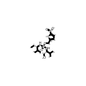 CC[C@H](NP(=O)(N[C@@H](CCl)C(C)C)OCc1ccc([N+](=O)[O-])s1)C(C)C